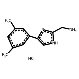 Cl.NCc1nc(-c2cc(C(F)(F)F)cc(C(F)(F)F)c2)c[nH]1